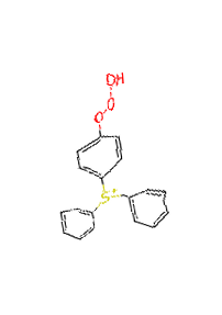 OOOc1ccc([S+](c2ccccc2)c2ccccc2)cc1